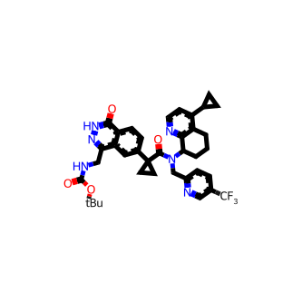 CC(C)(C)OC(=O)NCc1n[nH]c(=O)c2ccc(C3(C(=O)N(Cc4ccc(C(F)(F)F)cn4)C4CCCc5c(C6CC6)ccnc54)CC3)cc12